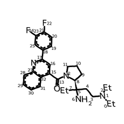 CCN(CC)CCC(N)(CC)[C@@H]1CCCN1C(=O)c1cc(-c2ccc(F)c(F)c2)nc2ccccc12